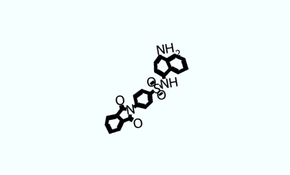 Nc1ccc(NS(=O)(=O)c2ccc(N3C(=O)c4ccccc4C3=O)cc2)c2ccccc12